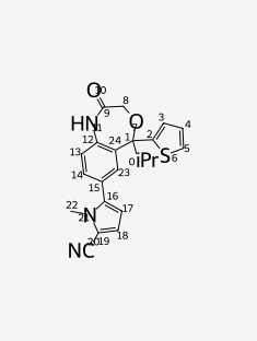 CC(C)C1(c2cccs2)OCC(=O)Nc2ccc(-c3ccc(C#N)n3C)cc21